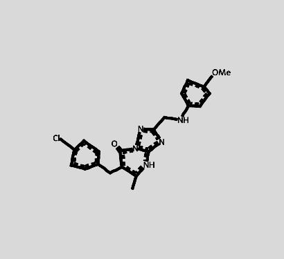 COc1ccc(NCc2nc3[nH]c(C)c(Cc4ccc(Cl)cc4)c(=O)n3n2)cc1